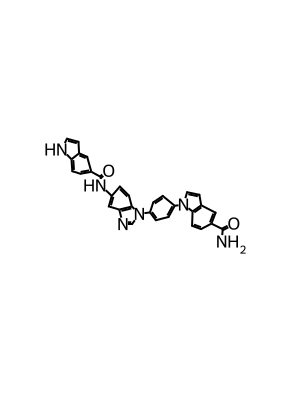 NC(=O)c1ccc2c(ccn2-c2ccc(-n3cnc4cc(NC(=O)c5ccc6[nH]ccc6c5)ccc43)cc2)c1